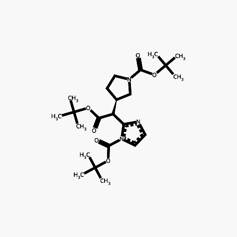 CC(C)(C)OC(=O)C(c1nccn1C(=O)OC(C)(C)C)[C@H]1CCN(C(=O)OC(C)(C)C)C1